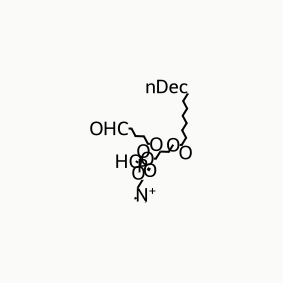 CCCCCCCCCCCCCCCCCC(=O)OCC(COP(=O)(O)OCC[N+](C)(C)C)OC(=O)CCCC=O